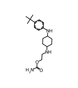 CC(C)(C)c1ccc(NC2CCC(NCCOC(N)=O)CC2)cc1